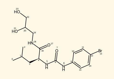 CC(C)C[C@H](NC(=O)Nc1ccc(Br)cc1)C(=O)NCC(O)CO